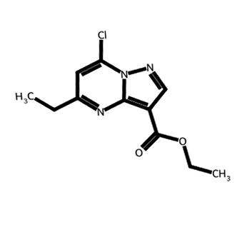 CCOC(=O)c1cnn2c(Cl)cc(CC)nc12